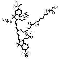 CC1(C)C(/C=C/C=C(/C=C/C=C2\N(CCS(=O)(=O)[O-])c3ccc(S(=O)(=O)[O-])cc3C2(C)C)CCCOCC(=O)NCCCCCCNC(=O)CBr)=[N+](CCS(=O)(=O)[O-])c2ccc(S(=O)(=O)[O-])cc21.[Na+].[Na+].[Na+]